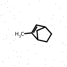 CC1=CC2CCC1C2